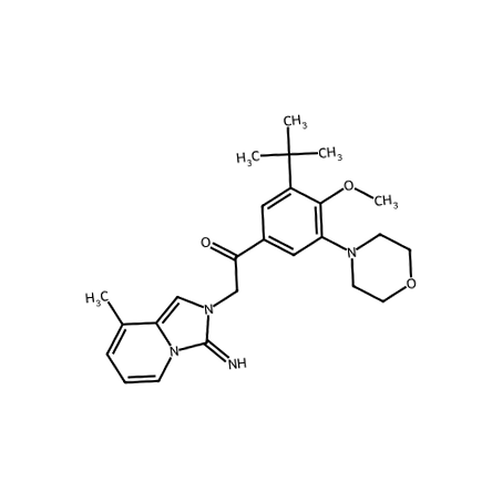 COc1c(N2CCOCC2)cc(C(=O)Cn2cc3c(C)cccn3c2=N)cc1C(C)(C)C